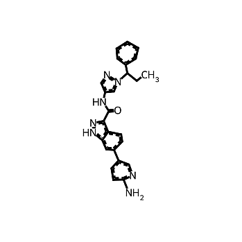 CCC(c1ccccc1)n1cc(NC(=O)c2n[nH]c3cc(-c4ccc(N)nc4)ccc23)cn1